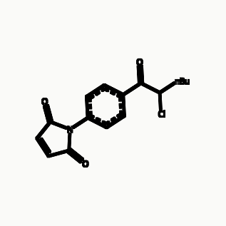 CCCCC(Cl)C(=O)c1ccc(N2C(=O)C=CC2=O)cc1